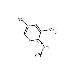 CCCN[C@H]1CC=C(C#N)C=C1N